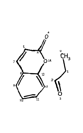 CCC=O.O=c1ccc2ccccc2o1